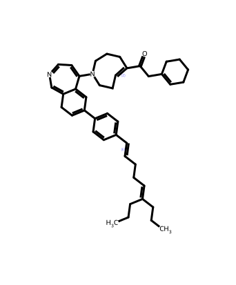 CCCC(=CCC/C=C/c1ccc(C2=CCC3=CN=CC=C(N4CC/C=C(\C(=O)CC5=CCCCC5)CCC4)C3=C2)cc1)CCC